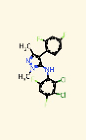 Cc1nn(C)c(Nc2c(F)cc(F)c(Cl)c2Cl)c1-c1ccc(F)cc1F